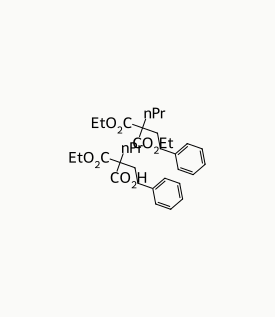 CCCC(CCc1ccccc1)(C(=O)O)C(=O)OCC.CCCC(CCc1ccccc1)(C(=O)OCC)C(=O)OCC